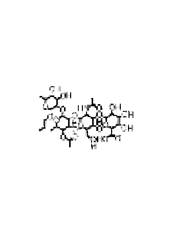 CCCO[C@@H]1OC(C)[C@H](O)C(O)[C@@H]1O[C@@H]1OC(C)[C@H](OC(C)=O)C(O)[C@@H]1O[C@@H]1OC(CO)[C@H](O)C(O[C@@H]2OC(C(=O)O)[C@H](O)C(O)[C@@H]2O)[C@@H]1NC(C)=O